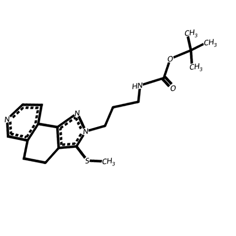 CSc1c2c(nn1CCCNC(=O)OC(C)(C)C)-c1ccncc1CC2